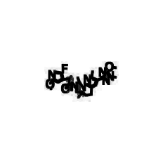 CCN(C[C@@]1(C)CCc2cc(-c3nc(OC)n(C)n3)c(C)nc2N1)C(=O)[C@H](C)c1cc(OC)ncc1F